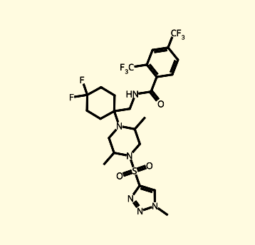 CC1CN(S(=O)(=O)c2cn(C)nn2)C(C)CN1C1(CNC(=O)c2ccc(C(F)(F)F)cc2C(F)(F)F)CCC(F)(F)CC1